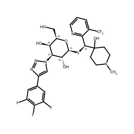 CN1CCC(O)([C@@H](S[C@@H]2O[C@H](CO)[C@H](O)[C@H](n3cc(-c4cc(F)c(F)c(F)c4)nn3)[C@H]2O)c2ncccc2C(F)(F)F)CC1